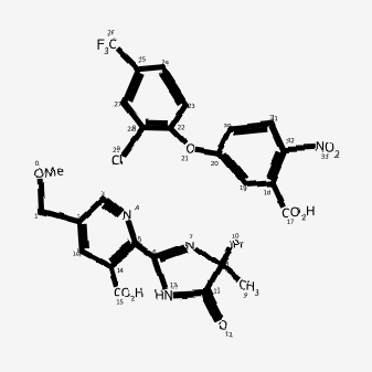 COCc1cnc(C2=NC(C)(C(C)C)C(=O)N2)c(C(=O)O)c1.O=C(O)c1cc(Oc2ccc(C(F)(F)F)cc2Cl)ccc1[N+](=O)[O-]